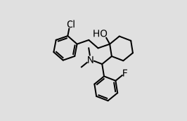 CN(C)C(c1ccccc1F)C1CCCCC1(O)CCc1ccccc1Cl